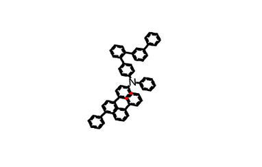 c1ccc(-c2cccc(-c3ccccc3-c3ccc(N(c4ccccc4)c4ccc(-c5ccc(-c6ccccc6)c6cccc(-c7ccccc7)c56)cc4)cc3)c2)cc1